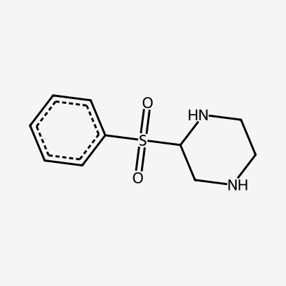 O=S(=O)(c1ccccc1)C1CNCCN1